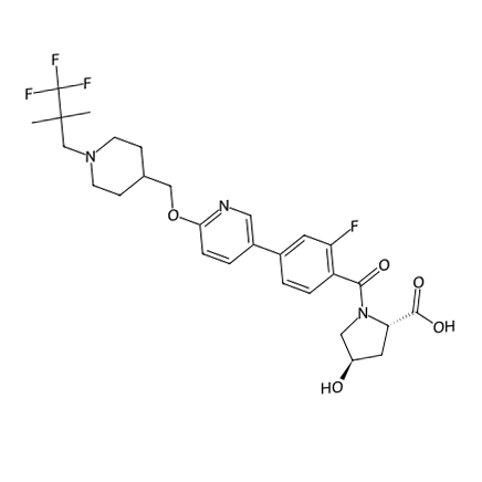 CC(C)(CN1CCC(COc2ccc(-c3ccc(C(=O)N4C[C@H](O)C[C@H]4C(=O)O)c(F)c3)cn2)CC1)C(F)(F)F